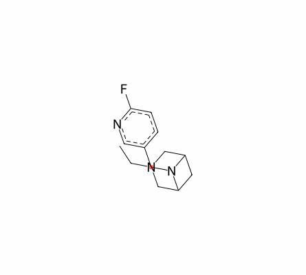 CCN1CC2CC(C1)N2Cc1ccc(F)nc1